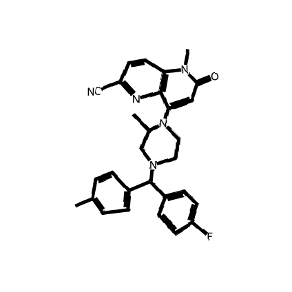 Cc1ccc(C(c2ccc(F)cc2)N2CCN(c3cc(=O)n(C)c4ccc(C#N)nc34)C(C)C2)cc1